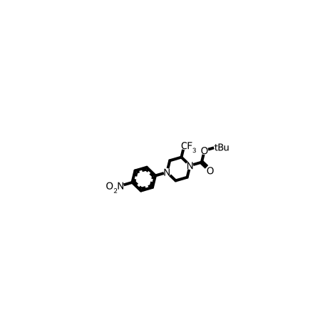 CC(C)(C)OC(=O)N1CCN(c2ccc([N+](=O)[O-])cc2)CC1C(F)(F)F